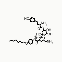 CCCCCCCCOc1ccc(NC(=O)C(CCCN)NC(=O)C2(O)CC(O)C(O)C(OC(=O)C(N)CCc3ccc(O)cc3)C2)cc1